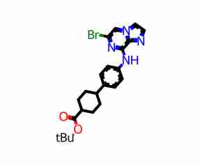 CC(C)(C)OC(=O)C1CCC(c2ccc(Nc3nc(Br)cn4ccnc34)cc2)CC1